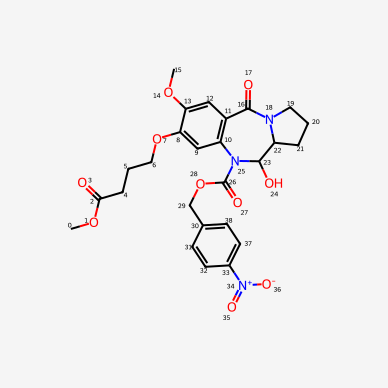 COC(=O)CCCOc1cc2c(cc1OC)C(=O)N1CCCC1C(O)N2C(=O)OCc1ccc([N+](=O)[O-])cc1